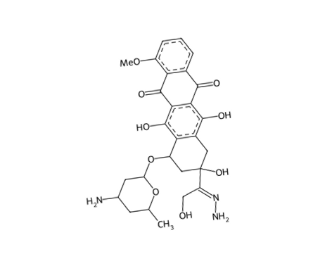 COc1cccc2c1C(=O)c1c(O)c3c(c(O)c1C2=O)CC(O)(/C(CO)=N/N)CC3OC1CC(N)CC(C)O1